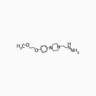 COCCOc1ccc(N2CCN(CCNN)CC2)cc1